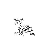 CC1(C)O[C@H]2[C@@H](O1)[C@](C#N)(c1ccc3c(N)ncnn13)O[C@@H]2CO[Si](C)(C)C(C)(C)C